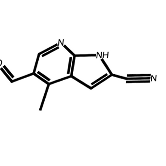 Cc1c(C=O)cnc2[nH]c(C#N)cc12